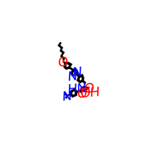 CCCCCCCOc1ccc(-c2cnc(-c3ccc(C[C@H](NC(=O)c4ccc(N(C)C)cc4)C(=O)O)cc3)nc2)cc1